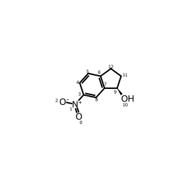 O=[N+]([O-])c1ccc2c(c1)[C@H](O)CC2